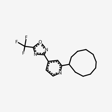 FC(F)(F)c1nc(-c2ccnc(C3CCCCCCCCC3)c2)no1